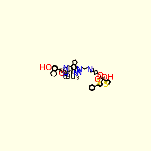 CC(C)(C)[Si](C)(C)O[C@@H](CNCc1cc2nnn(CCCN3CC4(CC(OC(=O)[C@](O)(c5cccs5)c5ccc(-c6ccccc6)s5)C4)C3)c2c2c1CCC2)c1ccc(O)c2c1CCCC2